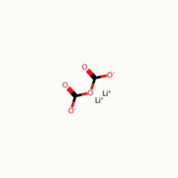 O=C([O-])OC(=O)[O-].[Li+].[Li+]